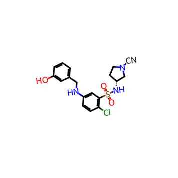 N#CN1CC[C@@H](NS(=O)(=O)c2cc(NCc3cccc(O)c3)ccc2Cl)C1